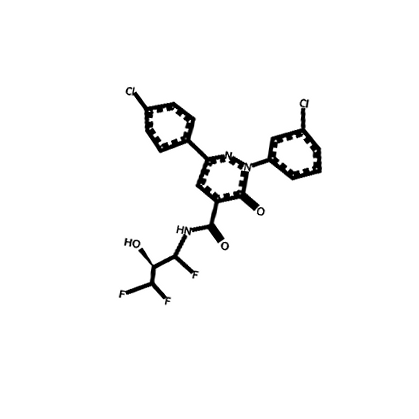 O=C(NC(F)[C@H](O)C(F)F)c1cc(-c2ccc(Cl)cc2)nn(-c2cccc(Cl)c2)c1=O